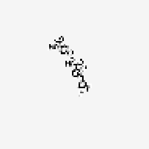 CC(=O)Nc1ccc(OCCNC(=O)c2cccn(Cc3ccc(F)c(F)c3)c2=O)cc1